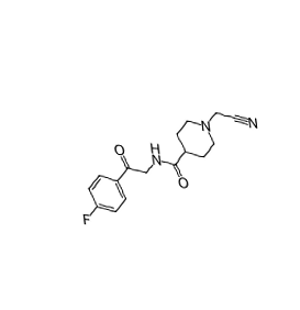 N#CCN1CCC(C(=O)NCC(=O)c2ccc(F)cc2)CC1